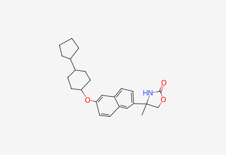 CC1(c2ccc3cc(OC4CCC(C5CCCC5)CC4)ccc3c2)COC(=O)N1